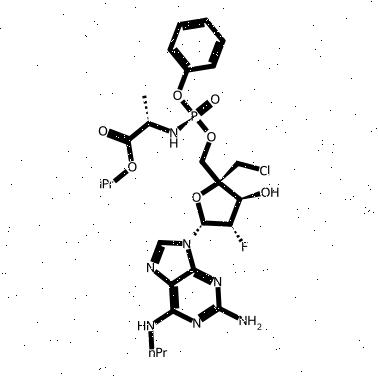 CCCNc1nc(N)nc2c1ncn2[C@@H]1O[C@](CCl)(CO[P@](=O)(N[C@@H](C)C(=O)OC(C)C)Oc2ccccc2)[C@@H](O)[C@@H]1F